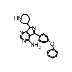 Nc1ncnc2c1C(c1ccc(Oc3ccccc3)cc1)=NC2C1CCCNC1